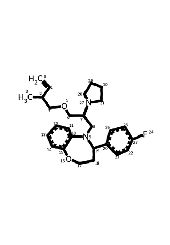 C=CC(C)COCC(CN1c2ccccc2OCCC1c1ccc(F)cc1)N1CCCC1